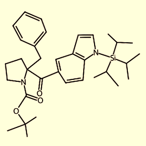 CC(C)[Si](C(C)C)(C(C)C)n1ccc2cc(C(=O)C3(Cc4ccccc4)CCCN3C(=O)OC(C)(C)C)ccc21